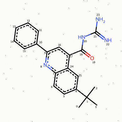 CC(C)(C)c1ccc2nc(-c3ccccc3)cc(C(=O)NC(=N)N)c2c1